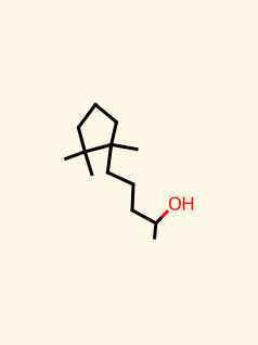 CC(O)CCCC1(C)CCCC1(C)C